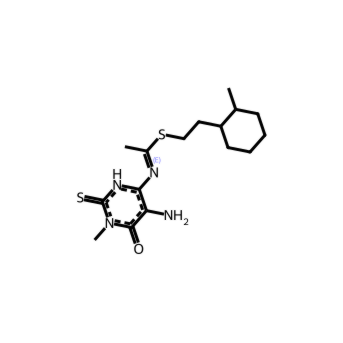 C/C(=N\c1[nH]c(=S)n(C)c(=O)c1N)SCCC1CCCCC1C